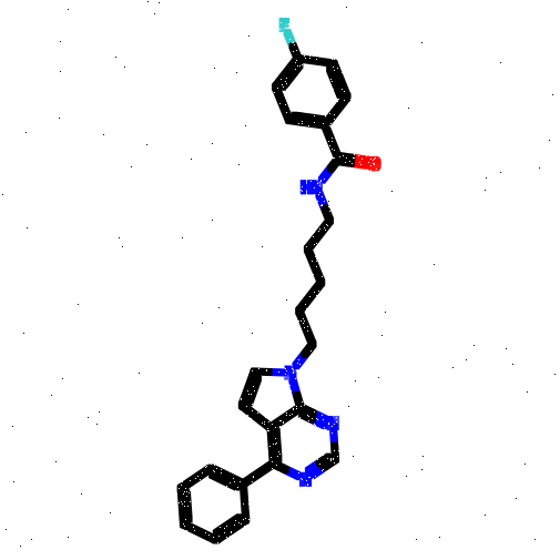 O=C(NCCCCCn1ccc2c(-c3ccccc3)ncnc21)c1ccc(F)cc1